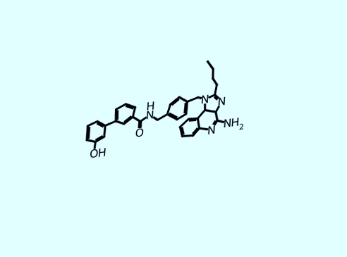 CCCCC1=NC2C(N)=Nc3ccccc3C2N1Cc1ccc(CNC(=O)c2cccc(-c3cccc(O)c3)c2)cc1